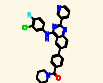 O=C(c1ccc(-c2ccc3nc(-c4cccnc4)nc(Nc4ccc(F)c(Cl)c4)c3c2)cc1)N1CCCCC1